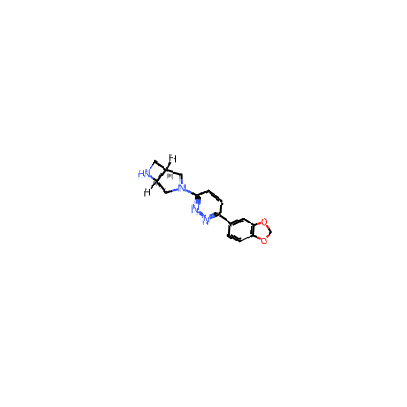 c1cc2c(cc1-c1ccc(N3C[C@H]4CN[C@H]4C3)nn1)OCO2